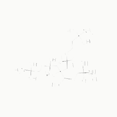 BC(C)(COC(C)C(C)(CC(C)(C)OCCC(C)(C)N)CC(C)(C)OCC(C)(C)N)NC